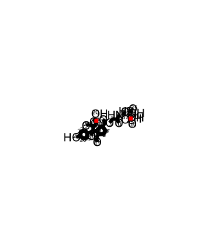 O=C(COC(=O)c1ccc2c(c1)C1(OC2=O)c2ccc(O)cc2Oc2cc(O)ccc21)NC(O[PH](=O)O)O[PH](=O)O